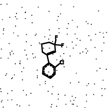 FC1(F)C=C(c2ccccc2Cl)CCC1